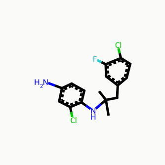 CC(C)(Cc1ccc(Cl)c(F)c1)Nc1ccc(N)cc1Cl